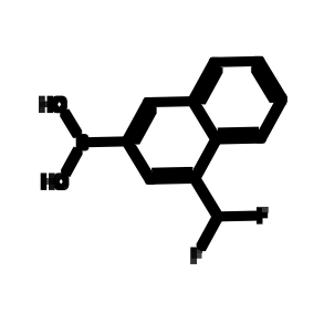 OB(O)c1cc(C(F)F)c2ccccc2c1